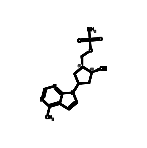 Cc1ncnc2c1ccn2C1C[C@@H](COS(N)(=O)=O)[C@@H](O)C1